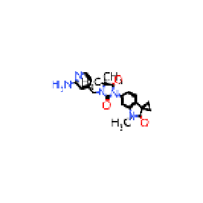 CN1C(=O)C2(CC2)c2ccc(N3C(=O)N(Cc4ccnc(N)c4)C(C)(C)C3=O)cc21